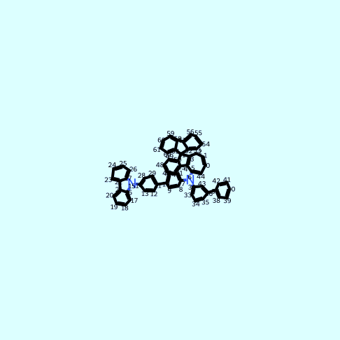 C1=CCC2=C(C(N(c3ccc(-c4ccc(-n5c6ccccc6c6ccccc65)cc4)cc3)c3cccc(-c4ccccc4)c3)=C1)c1ccccc1C21c2ccccc2-c2ccccc21